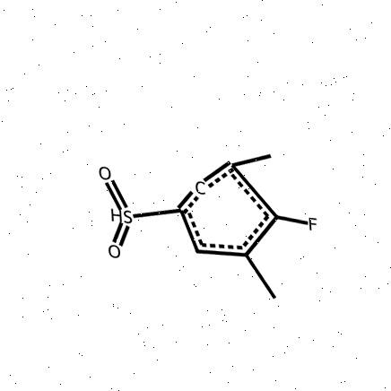 Cc1cc([SH](=O)=O)cc(C)c1F